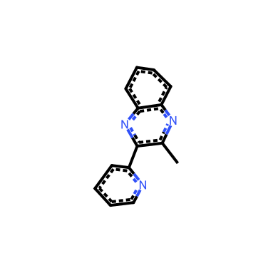 Cc1nc2ccccc2nc1-c1ccccn1